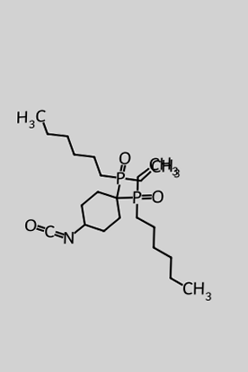 CCCCCCP(=O)(CC)C1(P(=O)(CC)CCCCCC)CCC(N=C=O)CC1